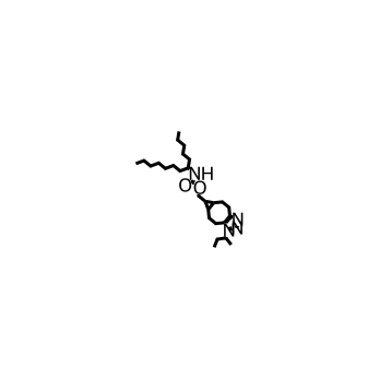 CCCCCCCC(CCCCC)NC(=O)OCC1C2CCc3nnn(C(C)CC)c3CCC21